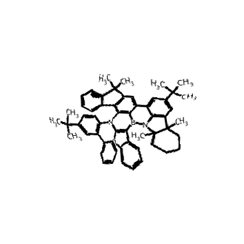 CC(C)(C)c1ccc(N2c3oc4ccccc4c3B3c4c(cc5c(c42)-c2ccccc2C5(C)C)-c2cc(C(C)(C)C)cc4c2N3C2(C)CCCCC42C)c(-c2ccccc2)c1